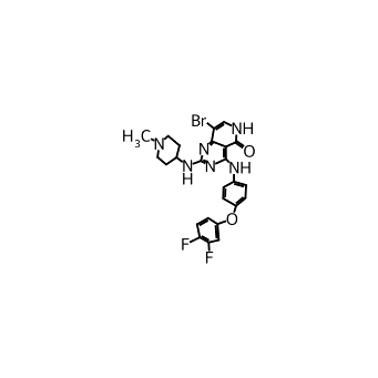 CN1CCC(Nc2nc(Nc3ccc(Oc4ccc(F)c(F)c4)cc3)c3c(=O)[nH]cc(Br)c3n2)CC1